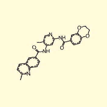 Cc1ccc2cc(C(=O)Nc3cc(NC(=O)c4ccc5c(c4)OCCO5)ncc3C)ccc2n1